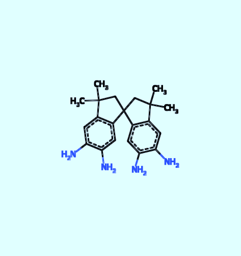 CC1(C)CC2(CC(C)(C)c3cc(N)c(N)cc32)c2cc(N)c(N)cc21